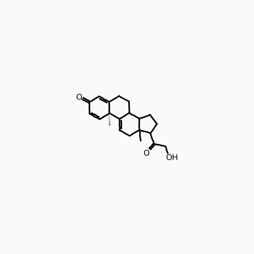 CC12CC=C3C(CCC4=CC(=O)C=C[C@@]43C)C1CCC2C(=O)CO